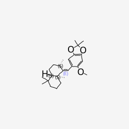 COc1cc2c(cc1/C=C1\[C@@H](C)CC[C@H]3C(C)(C)CCC[C@]13C)OC(C)(C)O2